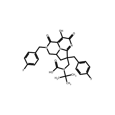 CC(C)(C)N(CC1(Cc2ccc(F)cc2)CC2CN(Cc3ccc(F)cc3)C(=O)c3c(O)c(=O)nc1n32)C(=O)O